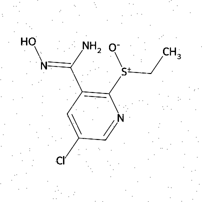 CC[S+]([O-])c1ncc(Cl)cc1C(N)=NO